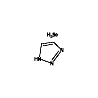 [SeH2].c1c[nH]nn1